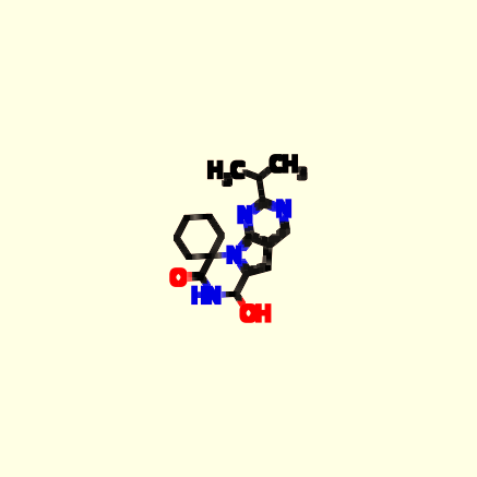 CC(C)c1ncc2cc3n(c2n1)C1(CCCCC1)C(=O)NC3O